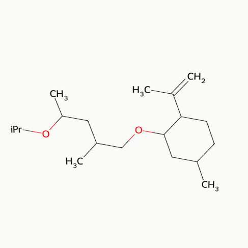 C=C(C)C1CCC(C)CC1OCC(C)CC(C)OC(C)C